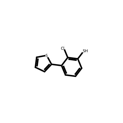 Sc1cccc(-c2cccs2)c1Cl